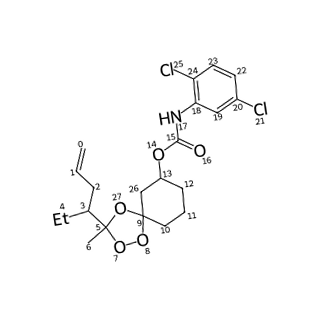 C=CCC(CC)C1(C)OOC2(CCCC(OC(=O)Nc3cc(Cl)ccc3Cl)C2)O1